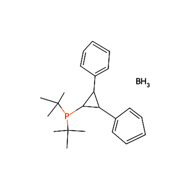 B.CC(C)(C)P(C1C(c2ccccc2)C1c1ccccc1)C(C)(C)C